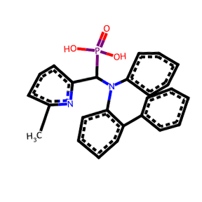 Cc1cccc(C(N(c2ccccc2)c2ccccc2-c2ccccc2)P(=O)(O)O)n1